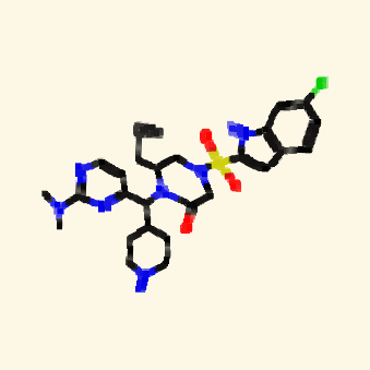 COCC1CN(S(=O)(=O)c2cc3ccc(Cl)cc3[nH]2)CC(=O)N1C(c1ccnc(N(C)C)n1)C1CCNCC1